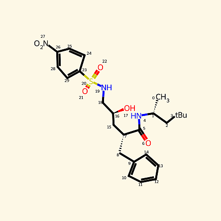 C[C@H](CC(C)(C)C)NC(=O)[C@H](Cc1ccccc1)C[C@H](O)CNS(=O)(=O)c1ccc([N+](=O)[O-])cc1